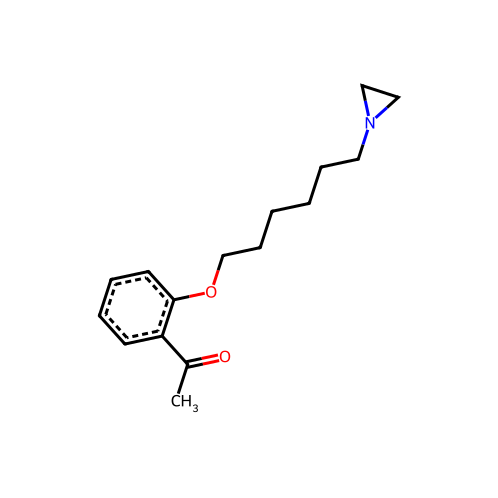 CC(=O)c1ccccc1OCCCCCCN1CC1